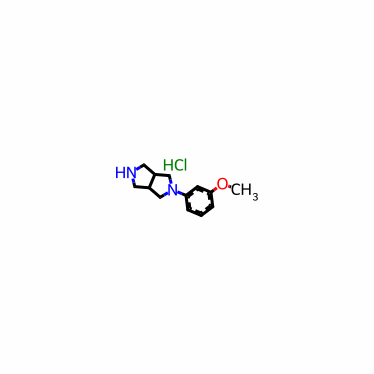 COc1cccc(N2CC3CNCC3C2)c1.Cl